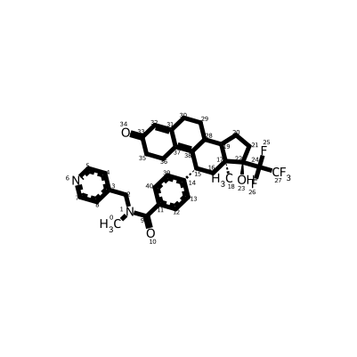 CN(Cc1ccncc1)C(=O)c1ccc([C@H]2C[C@@]3(C)C(CC[C@]3(O)C(F)(F)C(F)(F)F)C3CCC4=CC(=O)CCC4=C32)cc1